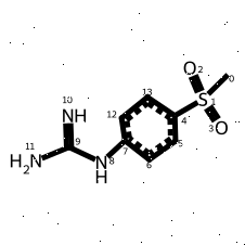 CS(=O)(=O)c1ccc(NC(=N)N)cc1